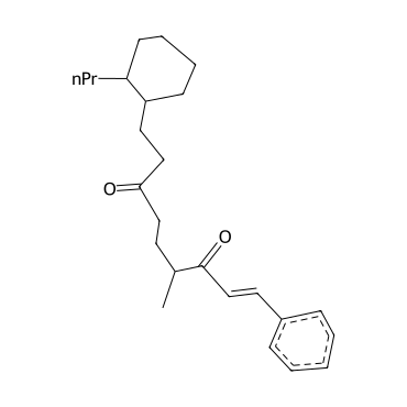 CCCC1CCCCC1CCC(=O)CCC(C)C(=O)/C=C/c1ccccc1